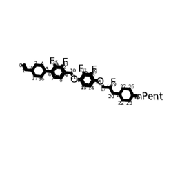 C=CC1CCC(c2ccc(COc3ccc(OCC(F)CC4CCC(CCCCC)CC4)c(F)c3F)c(F)c2F)CC1